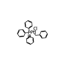 [Cl][Pd]([CH2]c1ccccc1)[PH](c1ccccc1)(c1ccccc1)c1ccccc1